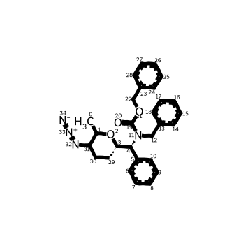 CC1O[C@H]([C@@H](c2ccccc2)N(Cc2ccccc2)C(=O)OCc2ccccc2)CCC1N=[N+]=[N-]